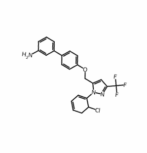 Nc1cccc(-c2ccc(OCc3cc(C(F)(F)F)nn3C3=CC=CCC3Cl)cc2)c1